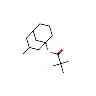 CCC(C)(C(=O)OC12CCCC(CC(C)C1)C2)C(C)C